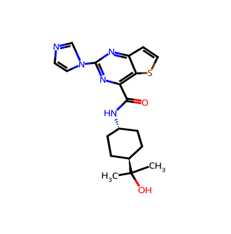 CC(C)(O)[C@H]1CC[C@H](NC(=O)c2nc(-n3ccnc3)nc3ccsc23)CC1